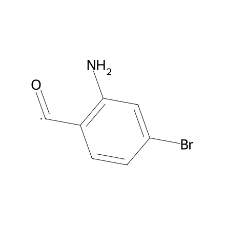 Nc1cc(Br)ccc1[C]=O